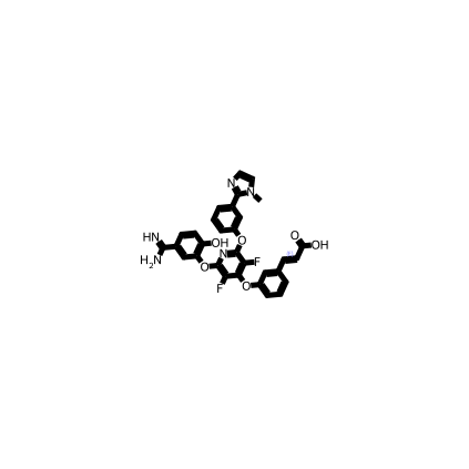 Cn1ccnc1-c1cccc(Oc2nc(Oc3cc(C(=N)N)ccc3O)c(F)c(Oc3cccc(/C=C/C(=O)O)c3)c2F)c1